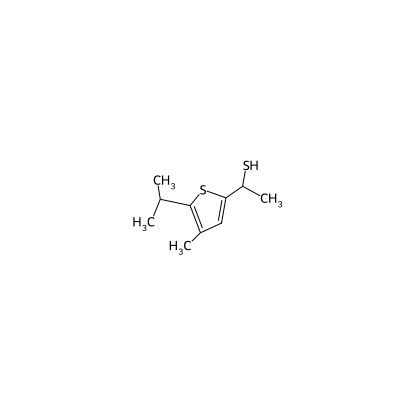 Cc1cc(C(C)S)sc1C(C)C